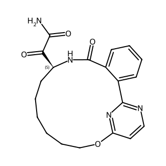 NC(=O)C(=O)[C@@H]1CCCCCCOc2ccnc(n2)-c2ccccc2C(=O)N1